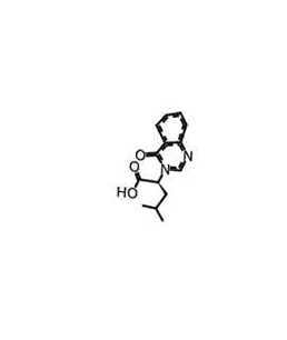 CC(C)C[C@@H](C(=O)O)n1cnc2ccccc2c1=O